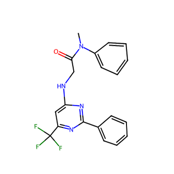 CN(C(=O)CNc1cc(C(F)(F)F)nc(-c2ccccc2)n1)c1ccccc1